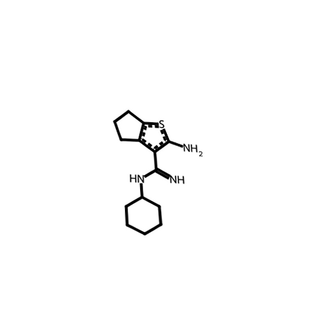 N=C(NC1CCCCC1)c1c(N)sc2c1CCC2